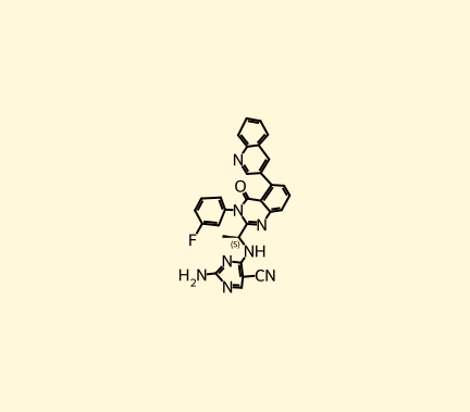 C[C@H](Nc1nc(N)ncc1C#N)c1nc2cccc(-c3cnc4ccccc4c3)c2c(=O)n1-c1cccc(F)c1